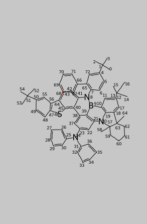 CC(C)(C)c1ccc(N2B3c4cc(C(C)(C)C)cc5c4N(c4cc(N(c6ccccc6)c6ccccc6)cc(c43)-c3c2ccc2c3sc3ccc(C(C)(C)C)cc32)C2(C)CCCCC52C)c(-c2ccccc2)c1